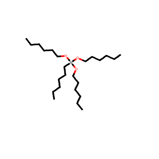 CCCCCCO[Si](CCCCCC)(OCCCCCC)OCCCCCC